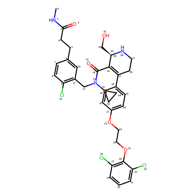 CNC(=O)CCc1ccc(Cl)c(CN(C(=O)C2=C(c3ccc(OCCOc4c(Cl)cccc4Cl)cc3)CCN[C@@H]2CO)C2CC2)c1